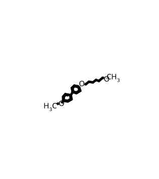 CCOc1ccc(-c2ccc(OCCCCCCOC)cc2)cc1